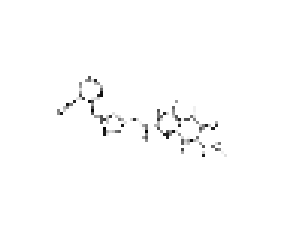 COC(C)C1C(=O)Nc2c(C)nc(NCc3cnn(Cc4ccccc4C#N)c3)nc2N1C